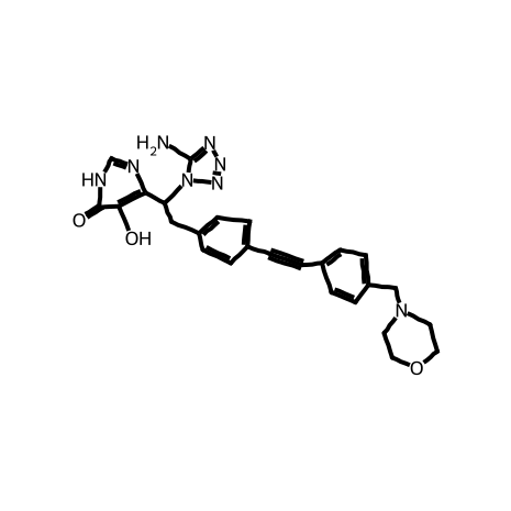 Nc1nnnn1C(Cc1ccc(C#Cc2ccc(CN3CCOCC3)cc2)cc1)c1nc[nH]c(=O)c1O